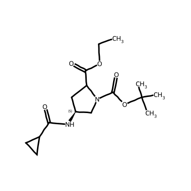 CCOC(=O)C1C[C@H](NC(=O)C2CC2)CN1C(=O)OC(C)(C)C